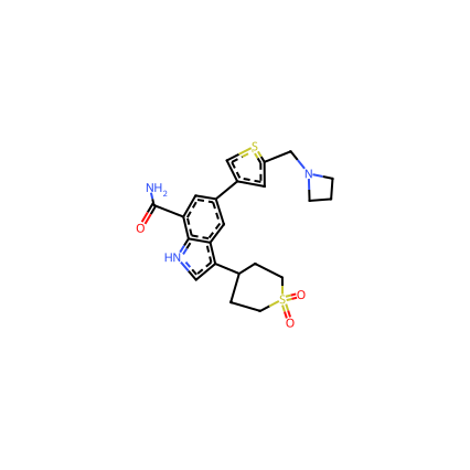 NC(=O)c1cc(-c2csc(CN3CCC3)c2)cc2c(C3CCS(=O)(=O)CC3)c[nH]c12